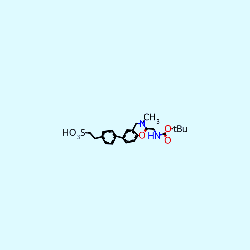 CN(Cc1cccc(-c2ccc(CCS(=O)(=O)O)cc2)c1)C(=O)CNC(=O)OC(C)(C)C